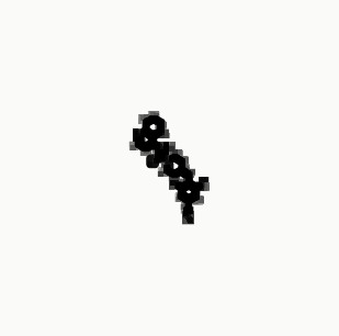 N#Cc1cc(F)c(C=C2CCN(C(=O)Nc3ccnc4c3CCCC4)CC2)c(F)c1